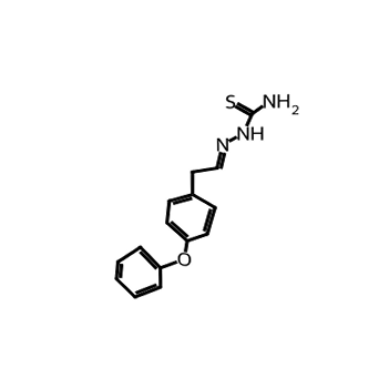 NC(=S)NN=CCc1ccc(Oc2ccccc2)cc1